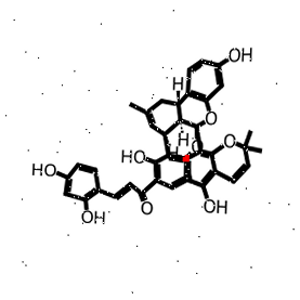 CC1=C[C@@H]2c3c(ccc(C(=O)/C=C/c4ccc(O)cc4O)c3O)OC3(c4ccc(O)c5c4OC(C)(C)C=C5)Oc4cc(O)ccc4[C@@H](C1)[C@H]23